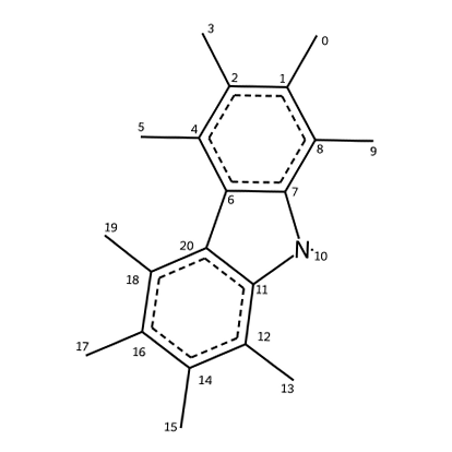 Cc1c(C)c(C)c2c(c1C)[N]c1c(C)c(C)c(C)c(C)c1-2